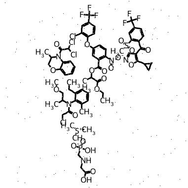 CC1COc2ccccc2N1C(=O)C(Cl)Cl.CCOC(=O)C(C)OC(=O)c1cc(Oc2ccc(C(F)(F)F)cc2Cl)ccc1[N+](=O)[O-].CCc1cccc(C)c1N(C(=O)CCl)C(C)COC.CS(=O)(=O)c1cc(C(F)(F)F)ccc1C(=O)c1cnoc1C1CC1.C[S+](C)C.O=C(O)CNCP(=O)([O-])O